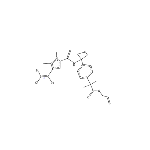 C=CCOC(=O)C(C)(C)c1ccc(C2(NC(=O)c3cc(/C(Cl)=C(/Cl)CC)c(C)n3C)COC2)cc1